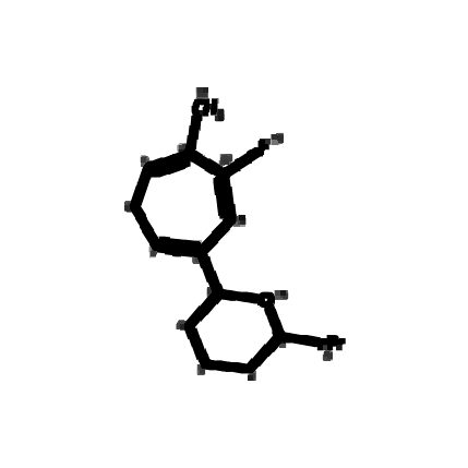 CCCC1CCCC(C2=CCC=C(C)C(F)=C2)O1